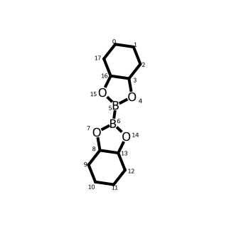 C1CCC2OB(B3OC4CCCCC4O3)OC2C1